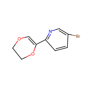 Brc1ccc(C2=COCCO2)nc1